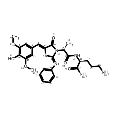 COc1cc(/C=C2\S/C(=N\c3ccccc3)N([C@H](C)C(=O)N[C@@H](CCCN)C(N)=O)C2=O)cc(OC)c1O